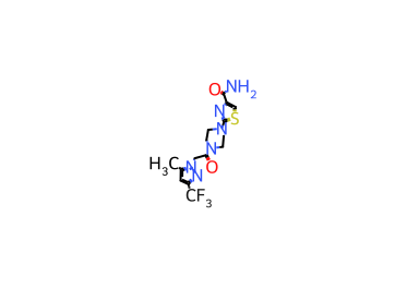 Cc1cc(C(F)(F)F)nn1CC(=O)N1CCN(c2nc(C(N)=O)cs2)CC1